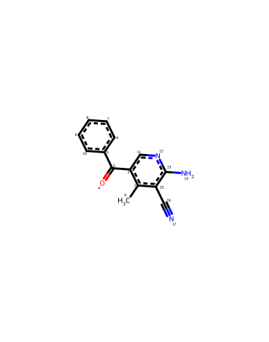 Cc1c(C(=O)c2ccccc2)cnc(N)c1C#N